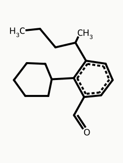 CCCC(C)c1cccc(C=O)c1C1CCCCC1